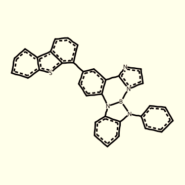 c1ccc(N2B3N(c4ccc(-c5cccc6c5sc5ccccc56)cc4-c4nccn43)c3ccccc32)cc1